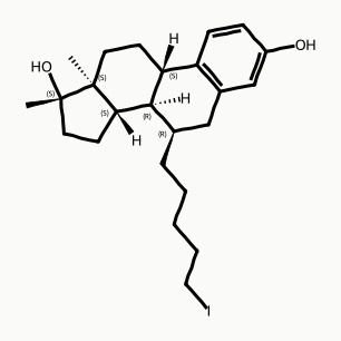 C[C@]1(O)CC[C@H]2[C@@H]3[C@H](CCCCCI)Cc4cc(O)ccc4[C@H]3CC[C@@]21C